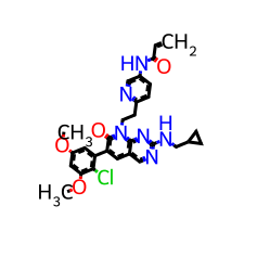 C=CC(=O)Nc1ccc(CCn2c(=O)c(-c3cc(OC)cc(OC)c3Cl)cc3cnc(NCC4CC4)nc32)nc1